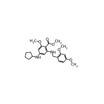 COC(=O)c1c(NCc2ccc(OC)cc2OC)cc(NC2CCCC2)cc1OC